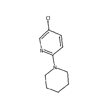 Clc1ccc(N2CCCCC2)nc1